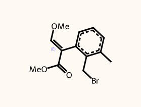 CO/C=C(/C(=O)OC)c1cccc(C)c1CBr